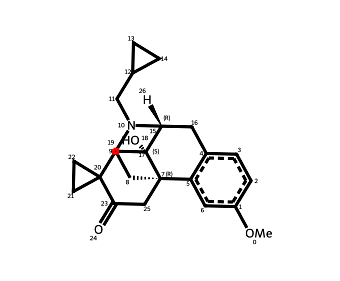 COc1ccc2c(c1)[C@]13CCN(CC4CC4)[C@H](C2)[C@]1(O)CC1(CC1)C(=O)C3